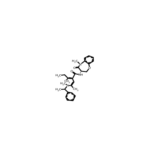 CC/C(C)=C(/C=C(/C)N(C)C(C)c1ccccc1)C(=O)N[C@H]1COc2ccccc2N(C)C1=O